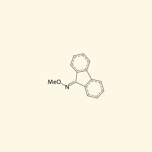 CON=C1c2ccccc2-c2ccccc21